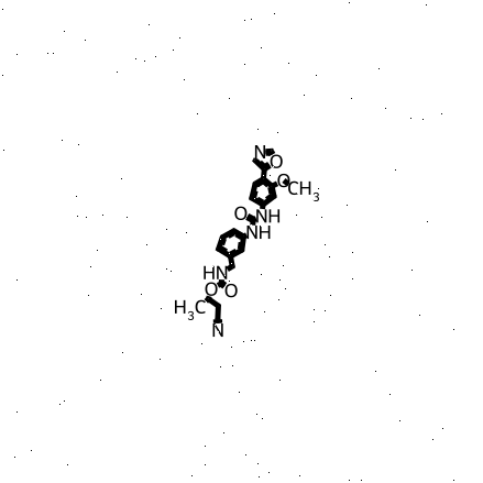 COc1cc(NC(=O)Nc2cccc(CNC(=O)OC(C)CC#N)c2)ccc1-c1cnco1